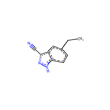 CCc1ccc2[nH]nc(C#N)c2c1